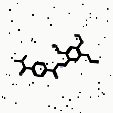 C=CCc1cc(/C=C/C(=O)c2ccc(C(=O)N(C)C)cc2)c(OC(C)(C)C)cc1OC(C)(C)C